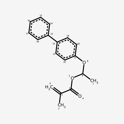 C=C(C)C(=O)OC(C)Oc1ccc(-c2ccccc2)cc1